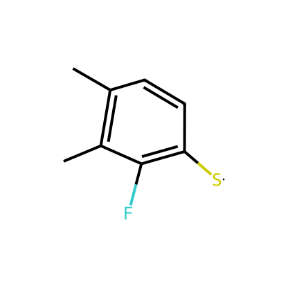 Cc1ccc([S])c(F)c1C